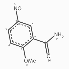 COc1ccc(N=O)cc1C(N)=O